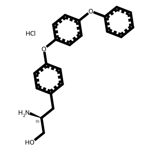 Cl.N[C@H](CO)Cc1ccc(Oc2ccc(Oc3ccccc3)cc2)cc1